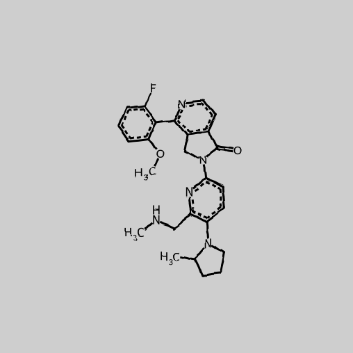 CNCc1nc(N2Cc3c(ccnc3-c3c(F)cccc3OC)C2=O)ccc1N1CCCC1C